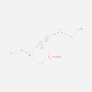 COC.COCC#CCOC